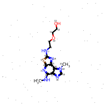 CNc1nc2sc(NCCOCCO)nc2c2c1ncn2C